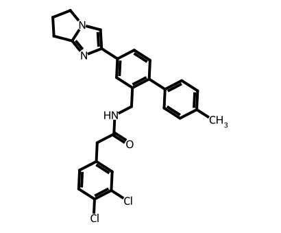 Cc1ccc(-c2ccc(-c3cn4c(n3)CCC4)cc2CNC(=O)Cc2ccc(Cl)c(Cl)c2)cc1